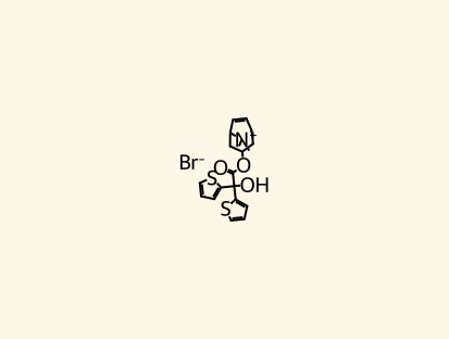 C[N+]1(C)C2C=CC1CC(OC(=O)C(O)(c1cccs1)c1cccs1)C2.[Br-]